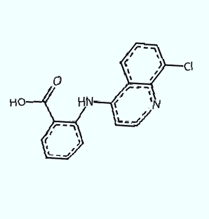 O=C(O)c1ccccc1Nc1ccnc2c(Cl)cccc12